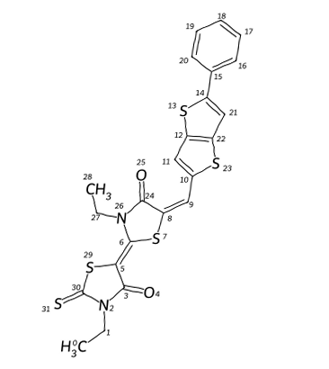 CCN1C(=O)/C(=c2\s/c(=C/c3cc4sc(-c5ccccc5)cc4s3)c(=O)n2CC)SC1=S